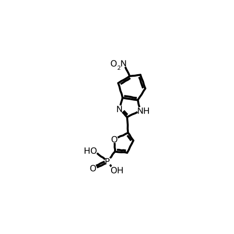 O=[N+]([O-])c1ccc2[nH]c(-c3ccc(P(=O)(O)O)o3)nc2c1